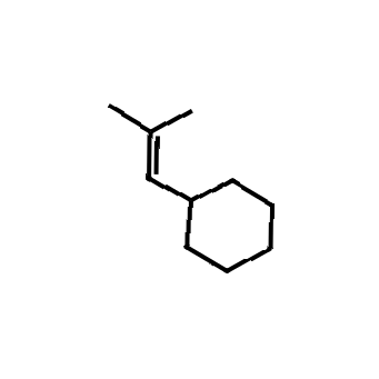 CC(C)=CC1CCCCC1